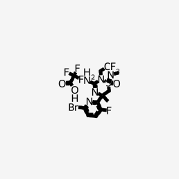 CN=S1(=O)CC(C)(c2nc(Br)ccc2F)N=C(N)N1CC(F)(F)F.O=C(O)C(F)(F)F